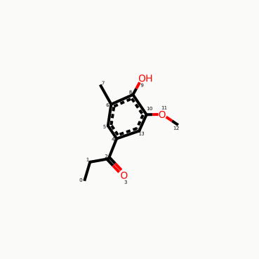 CCC(=O)c1cc(C)c(O)c(OC)c1